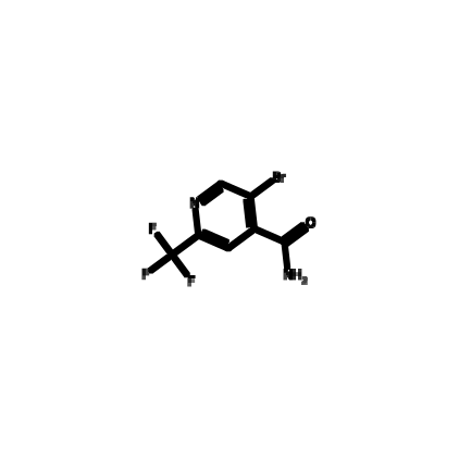 NC(=O)c1cc(C(F)(F)F)ncc1Br